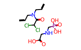 C=CCN(CC=C)C(=O)C(Cl)Cl.O=C(O)CNCP(=O)(O)O